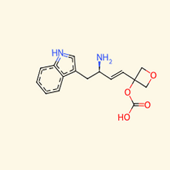 N[C@@H](/C=C/C1(OC(=O)O)COC1)Cc1c[nH]c2ccccc12